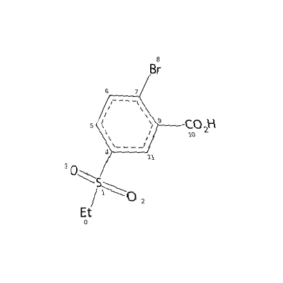 CCS(=O)(=O)c1ccc(Br)c(C(=O)O)c1